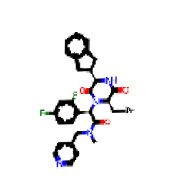 CC(C)C[C@@H]1C(=O)N[C@H](C2Cc3ccccc3C2)C(=O)N1[C@@H](C(=O)N(C)Cc1ccncc1)c1ccc(F)cc1F